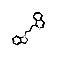 [CH](CCN1CCc2ccccc21)c1nccc2ccccc12